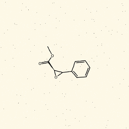 COC(=O)[C@@H]1OC1c1ccccc1